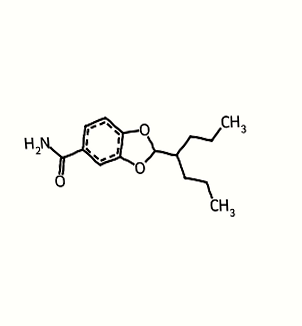 CCCC(CCC)C1Oc2ccc(C(N)=O)cc2O1